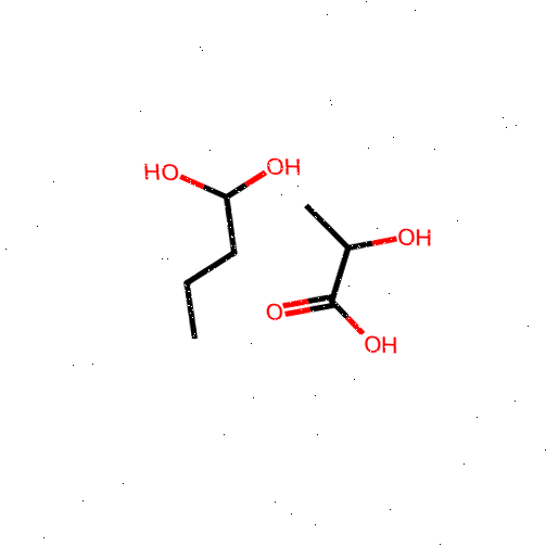 CC(O)C(=O)O.CCCC(O)O